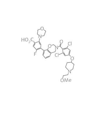 COCCN1CCC(Oc2cc(Cl)c(C(=O)N3COc4c(cccc4-c4cc(N5CCOCC5)c(C(=O)O)cc4F)C3)c(Cl)c2)CC1